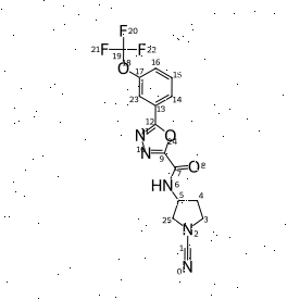 N#CN1CCC(NC(=O)c2nnc(-c3cccc(OC(F)(F)F)c3)o2)C1